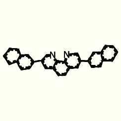 c1ccc2cc(-c3cnc4c(ccc5cc(-c6ccc7ccccc7c6)cnc54)c3)ccc2c1